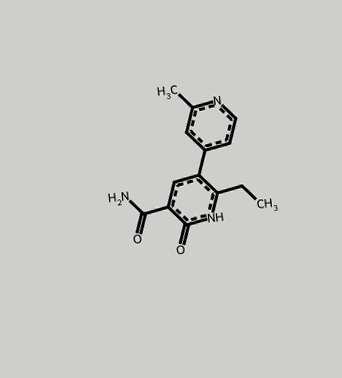 CCc1[nH]c(=O)c(C(N)=O)cc1-c1ccnc(C)c1